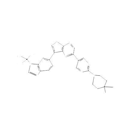 CC(C)(C)n1cnc2ccc(-c3c[nH]c4ncc(-c5cnc(N6CCC(F)(F)CC6)nc5)nc34)cc21